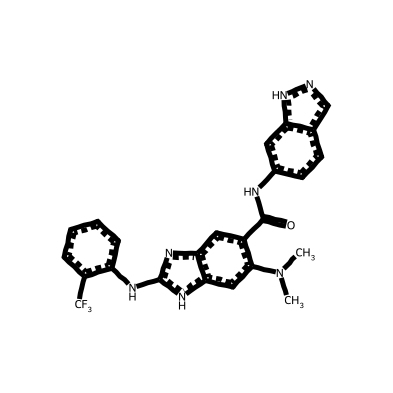 CN(C)c1cc2[nH]c(Nc3ccccc3C(F)(F)F)nc2cc1C(=O)Nc1ccc2cn[nH]c2c1